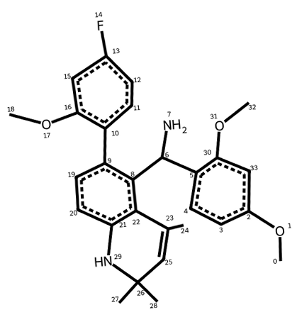 COc1ccc(C(N)c2c(-c3ccc(F)cc3OC)ccc3c2C(C)=CC(C)(C)N3)c(OC)c1